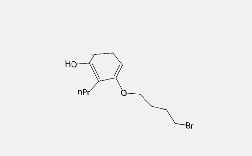 CCCC1=C(O)[CH]CC=C1OCCCCBr